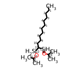 CCCCCCCCCCCC([SiH2]OC(C)C)[SiH2]OC(C)C